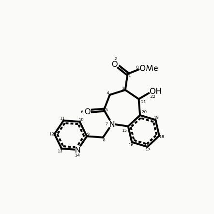 COC(=O)C1CC(=O)N(Cc2ccccn2)c2ccccc2C1O